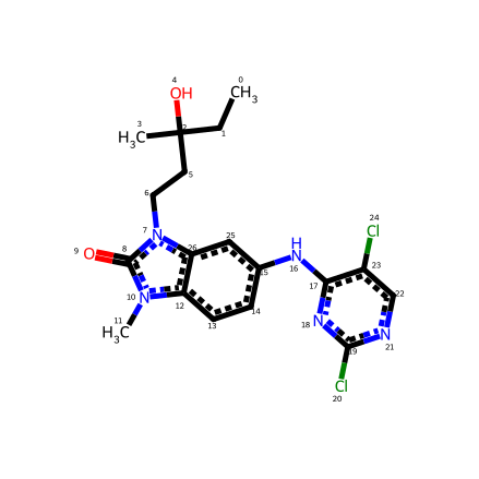 CCC(C)(O)CCn1c(=O)n(C)c2ccc(Nc3nc(Cl)ncc3Cl)cc21